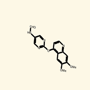 COc1cc2nccc(Oc3ncc(NC=O)cn3)c2cc1OC